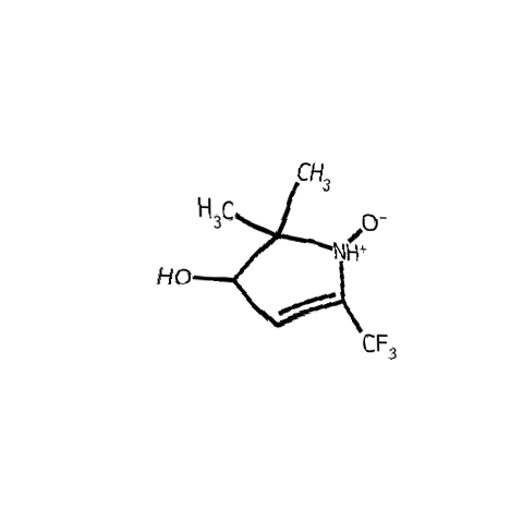 CC1(C)C(O)C=C(C(F)(F)F)[NH+]1[O-]